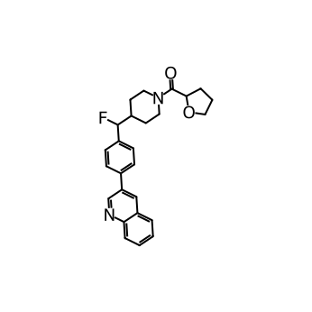 O=C(C1CCCO1)N1CCC(C(F)c2ccc(-c3cnc4ccccc4c3)cc2)CC1